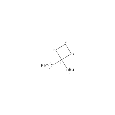 CCCCC1(C(=O)OCC)CCC1